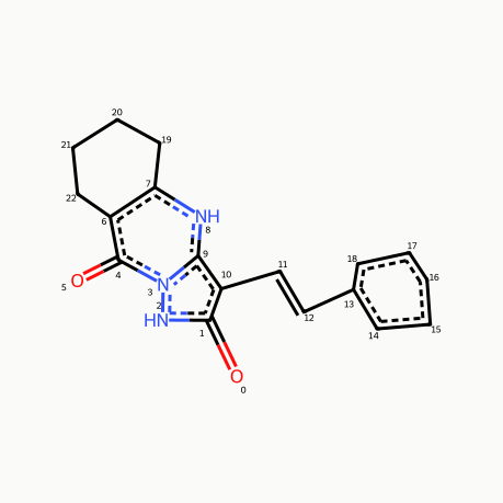 O=c1[nH]n2c(=O)c3c([nH]c2c1/C=C/c1ccccc1)CCCC3